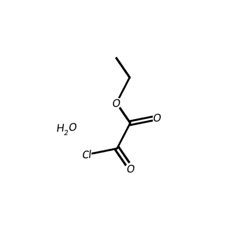 CCOC(=O)C(=O)Cl.O